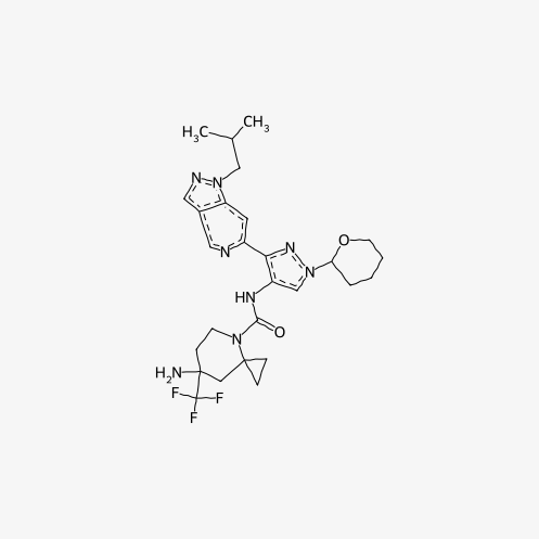 CC(C)Cn1ncc2cnc(-c3nn(C4CCCCO4)cc3NC(=O)N3CCC(N)(C(F)(F)F)CC34CC4)cc21